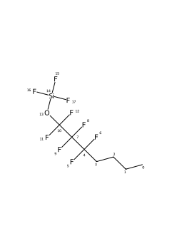 CCCCC(F)(F)C(F)(F)C(F)(F)O[Si](F)(F)F